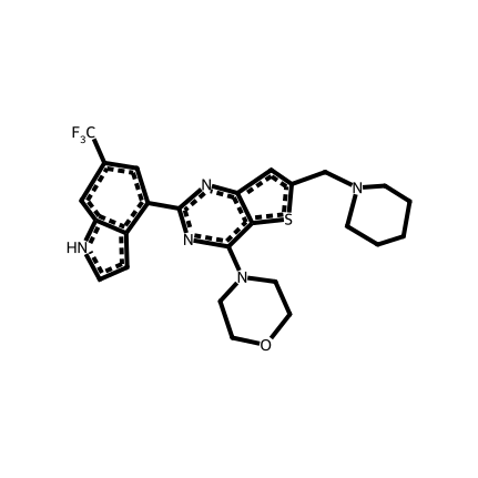 FC(F)(F)c1cc(-c2nc(N3CCOCC3)c3sc(CN4CCCCC4)cc3n2)c2cc[nH]c2c1